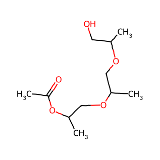 CC(=O)OC(C)COC(C)COC(C)CO